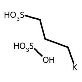 O=S(=O)(O)CC[CH2][K].O=S(=O)(O)O